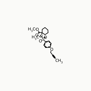 CC#CCOc1ccc(S(=O)(=O)N(C)C2(C(=O)OC)CCCCC2)cc1